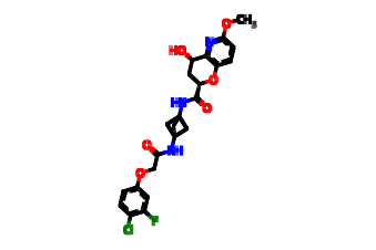 COc1ccc2c(n1)[C@H](O)C[C@H](C(=O)NC13CC(NC(=O)COc4ccc(Cl)c(F)c4)(C1)C3)O2